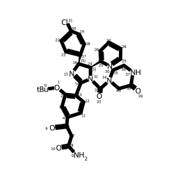 CC(C)(C)Oc1cc(C(=O)CC(N)=O)ccc1C1=N[C@@H](c2ccc(Cl)cc2)[C@@H](c2ccccn2)N1C(=O)N1CCNC(=O)C1